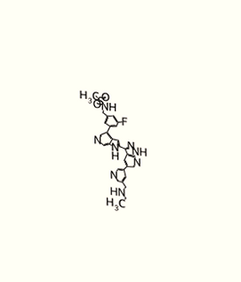 CCNCc1cncc(-c2cnc3[nH]nc(-c4cc5c(-c6cc(F)cc(CNS(C)(=O)=O)c6)cncc5[nH]4)c3c2)c1